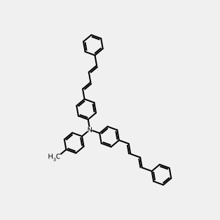 Cc1ccc(N(c2ccc(C=CC=Cc3ccccc3)cc2)c2ccc(C=CC=Cc3ccccc3)cc2)cc1